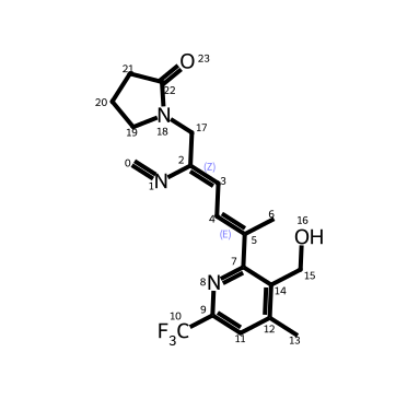 C=N/C(=C\C=C(/C)c1nc(C(F)(F)F)cc(C)c1CO)CN1CCCC1=O